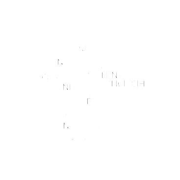 Cl.Cl.NCCC1SC=CN1C(=O)NCc1ncccc1F